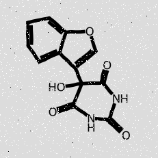 O=C1NC(=O)C(O)(c2coc3ccccc23)C(=O)N1